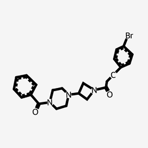 O=C(CCc1ccc(Br)cc1)N1CC(N2CCN(C(=O)c3ccccc3)CC2)C1